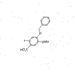 COc1cc(C(=O)O)c(I)cc1OCc1ccccc1